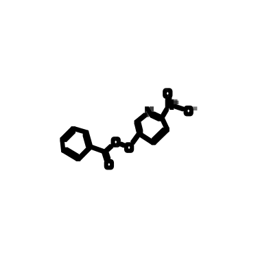 O=C(OOc1ccc([N+](=O)[O-])nc1)c1ccccc1